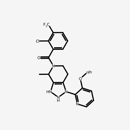 CCCOc1cccnc1N1NNC2=C1CCN(C(=O)c1cccc(C(F)(F)F)c1Cl)C2C